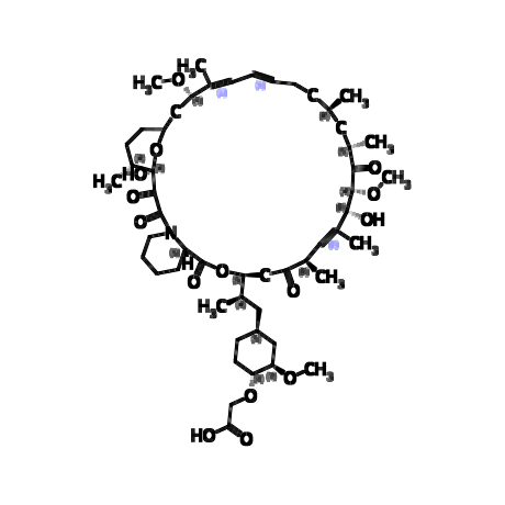 CO[C@H]1CC2CC[C@@H](C)[C@@](O)(O2)C(=O)C(=O)N2CCCC[C@H]2C(=O)O[C@H]([C@H](C)C[C@@H]2CC[C@@H](OCC(=O)O)[C@H](OC)C2)CC(=O)[C@H](C)/C=C(\C)[C@@H](O)[C@@H](OC)C(=O)[C@@H](C)C[C@H](C)CC/C=C/C=C/1C